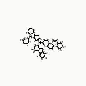 c1ccc(-n2c3ccccc3c3ccc(N(c4ccc5c(ccc6c7ccccc7ccc56)c4)c4cccc5c4sc4ccccc45)cc32)cc1